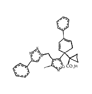 Cc1noc(C2(C3(C(=O)O)CC3)C=CC(c3ccccc3)=CC2)c1Cn1cc(-c2ccccc2)nn1